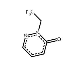 O=c1cccnn1CC(F)(F)F